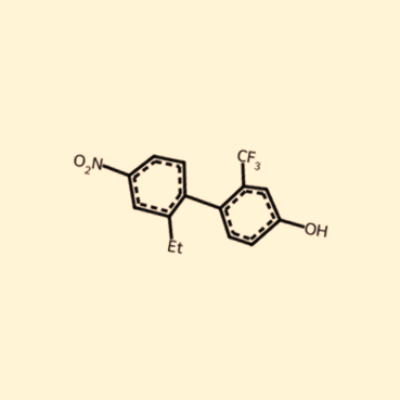 CCc1cc([N+](=O)[O-])ccc1-c1ccc(O)cc1C(F)(F)F